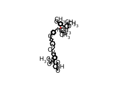 COc1ccc([C@]2(CCN(Cc3ccc(OC4CC5(CCN(CC(=O)N6Cc7ccc8c(c7C6)n(C)c(=O)n8C6CCC(=O)NC6=O)CC5)C4)cc3)CC(C)(C)C(F)(F)F)CCOC(C)(C)C2)cc1